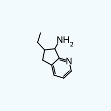 CCC1Cc2cccnc2C1N